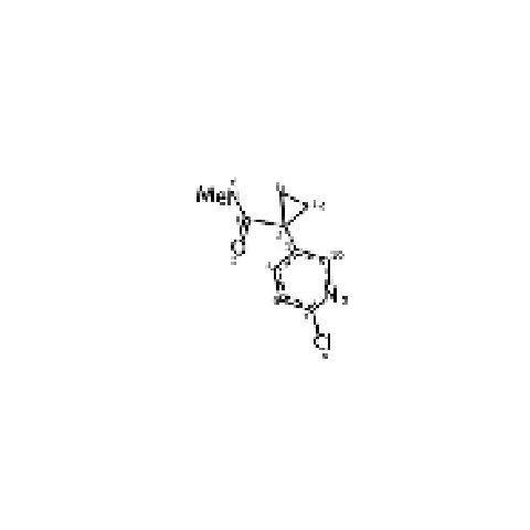 CNC(=O)C1(c2ccc(Cl)nc2)CC1